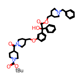 CC(C)(C)OC(=O)N1CCC(C(=O)N2CCC(COc3cccc(C(O)(C(=O)OCC4CCN(Cc5ccccc5)CC4)c4ccccc4)c3)CC2)CC1